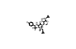 CC[C@H](NC(=O)C(CS(=O)(=O)CC1CC1)N[C@@H](c1ccc(F)cc1)C(F)(F)F)C(O)C(=O)NC1CC1